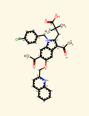 CC(=O)c1cc2c(cc1OCc1ccc3ccccc3n1)c(C(C)=O)c(CC(C)(C)C(=O)O)n2Cc1ccc(Cl)cc1